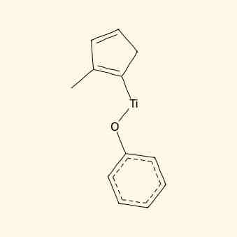 CC1=[C]([Ti][O]c2ccccc2)CC=C1